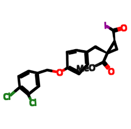 COC(=O)[C@@]1(Cc2ccc(OCc3ccc(Cl)c(Cl)c3)cc2)C[C@@H]1C(=O)I